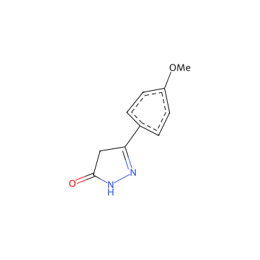 COc1ccc(C2=NNC(=O)C2)cc1